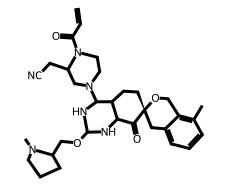 C=CC(=O)N1CCN(C2NC(OCC3CCCN3C)NC3C(=O)[C@@]4(CCC32)Cc2cccc(C)c2CO4)CC1CC#N